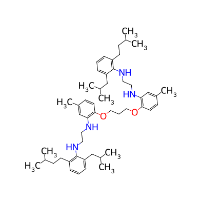 Cc1ccc(OCCCOc2ccc(C)cc2NCCNc2c(CCC(C)C)cccc2CC(C)C)c(NCCNc2c(CCC(C)C)cccc2CC(C)C)c1